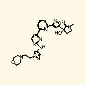 CN1CC[C@@](O)(c2cc(-c3cccc(-c4ccnc(Nc5cnn(CCN6CCOCC6)c5)n4)n3)no2)C1=O